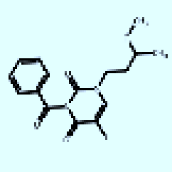 COC(C)CCn1cc(I)c(=O)n(C(=O)c2ccccc2)c1=O